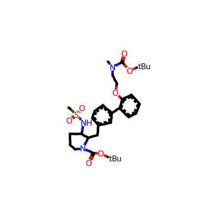 CN(CCOc1ccccc1-c1cccc(CC2C(NS(C)(=O)=O)CCCN2C(=O)OC(C)(C)C)c1)C(=O)OC(C)(C)C